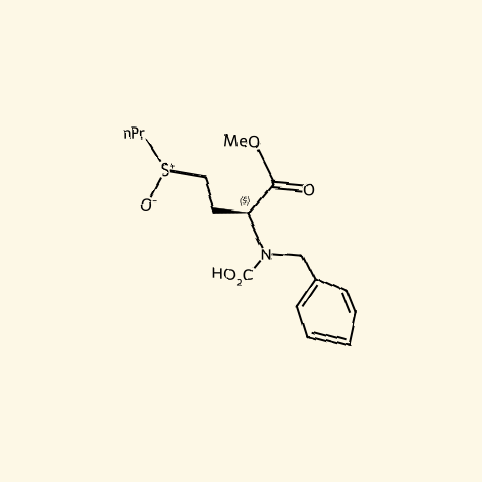 CCC[S+]([O-])CC[C@@H](C(=O)OC)N(Cc1ccccc1)C(=O)O